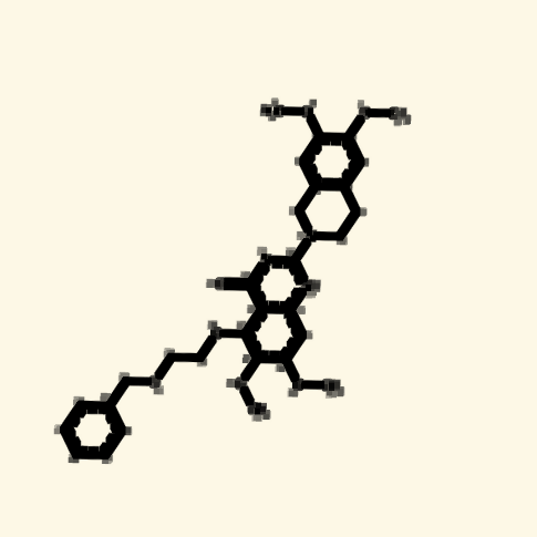 COc1cc2c(cc1OC)CN(c1nc(=O)c3c(OCCOCc4ccccc4)c(OC)c(OC)cc3[nH]1)CC2